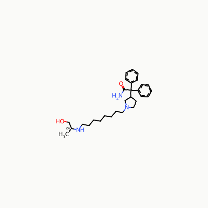 C[C@@H](CO)NCCCCCCCCN1CCC(C(C(N)=O)(c2ccccc2)c2ccccc2)C1